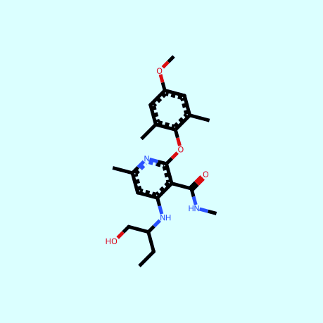 CCC(CO)Nc1cc(C)nc(Oc2c(C)cc(OC)cc2C)c1C(=O)NC